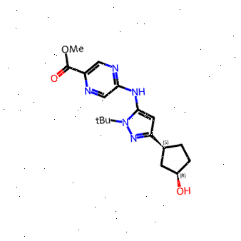 COC(=O)c1cnc(Nc2cc([C@H]3CC[C@@H](O)C3)nn2C(C)(C)C)cn1